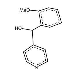 COc1ccccc1C(O)c1ccncc1